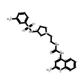 Cc1cccc(S(=O)(=O)NC2CCN(CCNC(=O)Nc3cc(C)nc4ccccc34)C2)c1